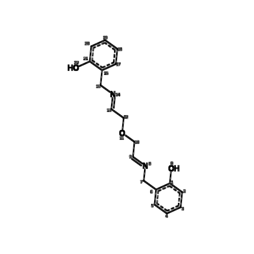 Oc1ccccc1CN=CCOCC=NCc1ccccc1O